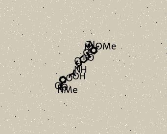 CNS(=O)(=O)c1cccc(OCC(O)CNC2COC3(CCN(S(=O)(=O)c4ccc(OC)c5nonc45)CC3)C2)c1